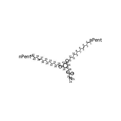 CCCCCC=CCC=CCCCCCCCCOc1cc(COC(=O)CN(C)C)cc(OCCCCCCCCC=CCC=CCCCCC)c1